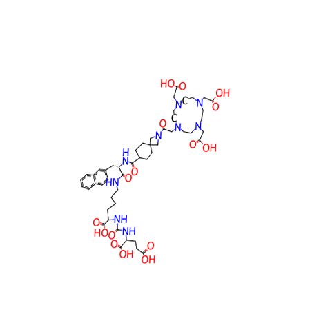 O=C(O)CCC(NC(=O)NC(CCCCNC(=O)[C@H](Cc1ccc2ccccc2c1)NC(=O)C1CCC2(CC1)CN(C(=O)CN1CCN(CC(=O)O)CCN(CC(=O)O)CCN(CC(=O)O)CC1)C2)C(=O)O)C(=O)O